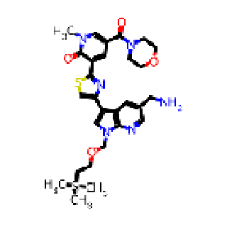 Cn1cc(C(=O)N2CCOCC2)cc(-c2nc(-c3cn(COCC[Si](C)(C)C)c4ncc(CN)cc34)cs2)c1=O